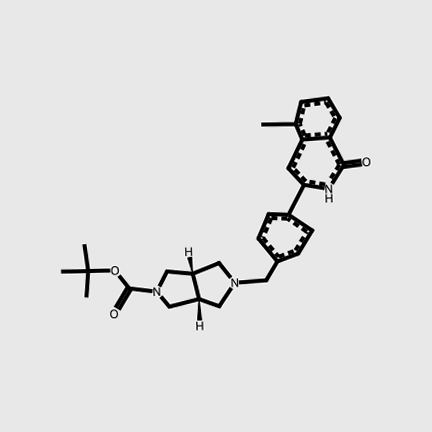 Cc1cccc2c(=O)[nH]c(-c3ccc(CN4C[C@@H]5CN(C(=O)OC(C)(C)C)C[C@@H]5C4)cc3)cc12